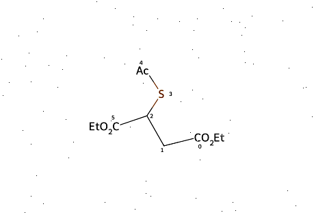 CCOC(=O)CC(SC(C)=O)C(=O)OCC